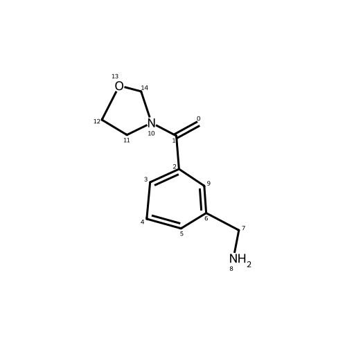 C=C(c1cccc(CN)c1)N1CCOC1